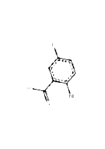 CC(C)C(=N)c1cc(F)ccc1N